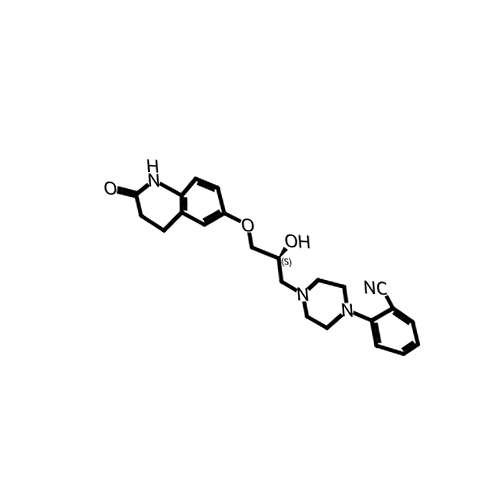 N#Cc1ccccc1N1CCN(C[C@H](O)COc2ccc3c(c2)CCC(=O)N3)CC1